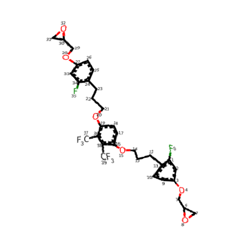 Fc1cc(OCC2CO2)ccc1CCCOc1ccc(OCCCc2ccc(OCC3CO3)cc2F)c(C(F)(F)F)c1C(F)(F)F